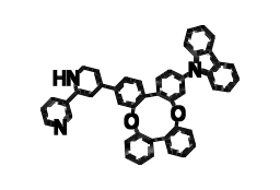 C1=C(c2ccc3c(c2)Oc2ccccc2-c2ccccc2Oc2cc(-n4c5ccccc5c5ccccc54)ccc2-3)C=C(c2cccnc2)NC1